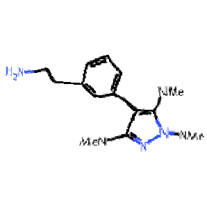 CNc1nn(NC)c(NC)c1-c1cccc(CCN)c1